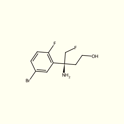 N[C@@](CF)(CCO)c1cc(Br)ccc1F